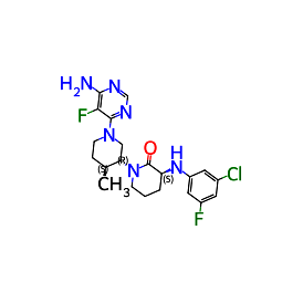 C[C@H]1CCN(c2ncnc(N)c2F)C[C@@H]1N1CCC[C@H](Nc2cc(F)cc(Cl)c2)C1=O